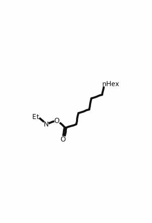 CCCCCCCCCCCC(=O)O[N]CC